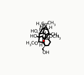 CCN1C[C@]2(CO)CC[C@H](OC)[C@]34[C@@H]5C[C@H]6[C@H](OC)[C@@H]5[C@](O)(C[C@@H]6OC)C(O)([C@@H]13)[C@@H](OC)[C@H]24